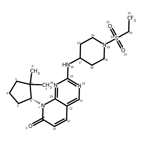 CC1(C)CCC[C@H]1n1c(=O)ccc2cnc(NC3CCN(S(=O)(=O)CC(F)(F)F)CC3)nc21